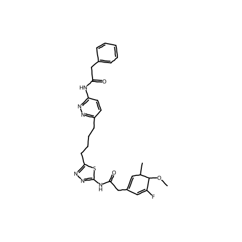 COC1C(F)=CC(CC(=O)Nc2nnc(CCCCc3ccc(NC(=O)Cc4ccccc4)nn3)s2)=CC1C